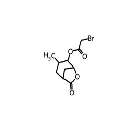 CC1CC2CC(OC2=O)C1OC(=O)CBr